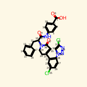 O=C(O)c1ccc(NC(=O)C(Cc2ccccc2)N2CCC(c3cc(Cl)ccc3-n3cc(Cl)nn3)=CC2=O)cc1